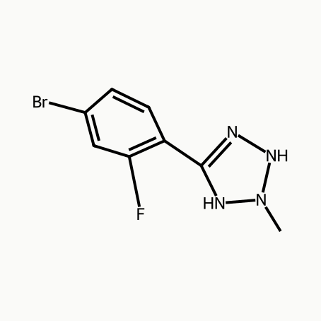 CN1NN=C(c2ccc(Br)cc2F)N1